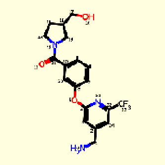 NCc1cc(Oc2cccc(C(=O)N3CCC(CO)C3)c2)nc(C(F)(F)F)c1